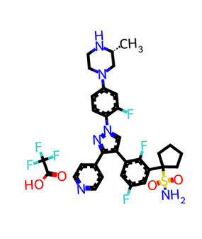 C[C@@H]1CN(c2ccc(-n3cc(-c4cc(F)cc(C5(S(N)(=O)=O)CCCC5)c4F)c(-c4ccncc4)n3)c(F)c2)CCN1.O=C(O)C(F)(F)F